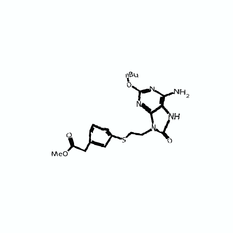 CCCCOc1nc(N)c2[nH]c(=O)n(CCSc3cccc(CC(=O)OC)c3)c2n1